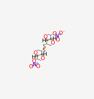 O=[N+]([O-])OC1CO[C@@H]2C(SSC3CO[C@@H]4C(O[N+](=O)[O-])CO[C@H]34)CO[C@H]12